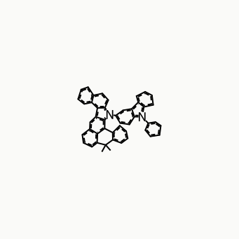 CC1(C)c2ccccc2-c2c3c1cccc3cc1c3c4ccccc4ccc3n(-c3ccc4c(c3)c3ccccc3n4-c3ccccc3)c21